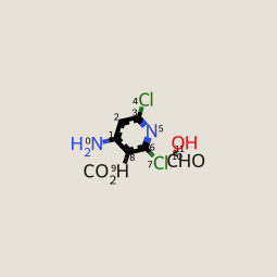 Nc1cc(Cl)nc(Cl)c1C(=O)O.O=CO